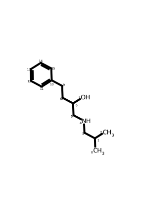 CC(C)CNCC(O)[CH]Cc1ccccc1